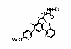 CCNC(=O)Nc1nc2c(F)c(-c3ccc(OC)nc3)cc(-c3ncccc3F)c2s1